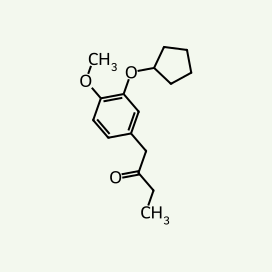 CCC(=O)Cc1ccc(OC)c(OC2CCCC2)c1